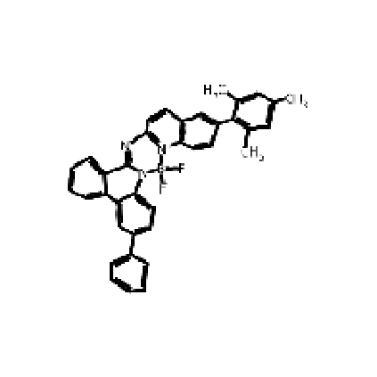 Cc1cc(C)c(-c2ccc3c(ccc4[n+]3[B-](F)(F)N3C(=N4)c4ccccc4-c4cc(-c5ccccc5)ccc43)c2)c(C)c1